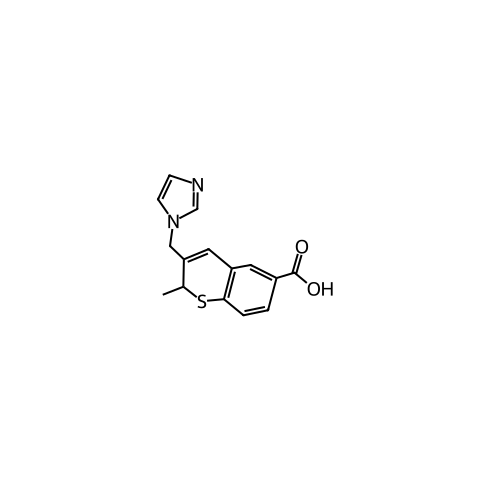 CC1Sc2ccc(C(=O)O)cc2C=C1Cn1ccnc1